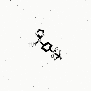 NN(C1=NCCS1)c1ccc(S(=O)(=O)C(F)(F)F)cc1